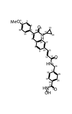 COc1ccc(C(=Cc2ccc(C=CC(=O)NCc3ccc(C(=O)NO)cc3)cc2)C(=O)NC2CC2)cc1